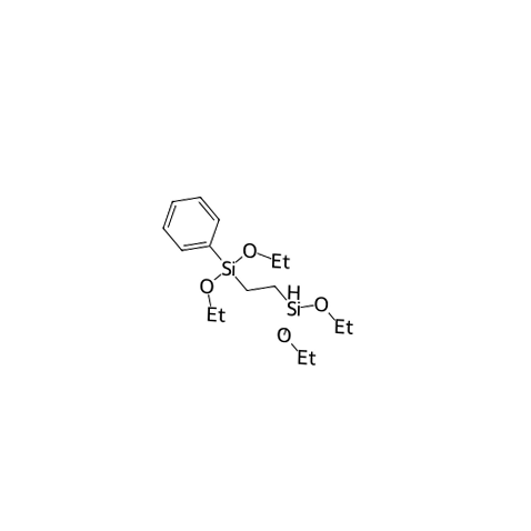 CCO[SiH](CC[Si](OCC)(OCC)c1ccccc1)OCC